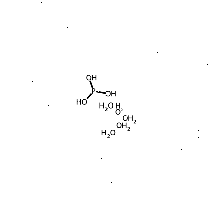 O.O.O.O.O.OP(O)O